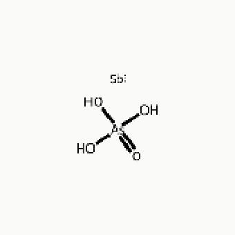 O=[As](O)(O)O.[Sb]